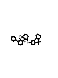 CC1(C)c2ccccc2-c2cc(Nc3cccc4oc5c(-c6ccccc6)cccc5c34)ccc21